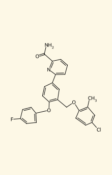 Cc1cc(Cl)ccc1OCc1cc(-c2cccc(C(N)=O)n2)ccc1Oc1ccc(F)cc1